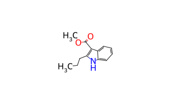 CCCc1[nH]c2ccccc2c1C(=O)OC